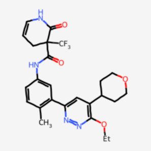 CCOc1nnc(-c2cc(NC(=O)C3(C(F)(F)F)CC=CNC3=O)ccc2C)cc1C1CCOCC1